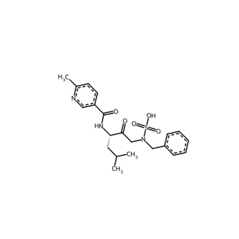 Cc1ccc(C(=O)N[C@@H](CC(C)C)C(=O)CN(Cc2ccccc2)S(=O)(=O)O)cn1